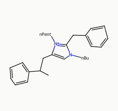 CCCCC[n+]1c(CC(C)c2ccccc2)cn(CCCC)c1Cc1ccccc1